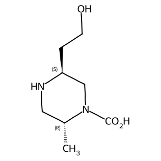 C[C@@H]1CN[C@@H](CCO)CN1C(=O)O